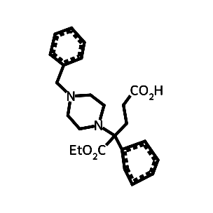 CCOC(=O)C(CCC(=O)O)(c1ccccc1)N1CCN(Cc2ccccc2)CC1